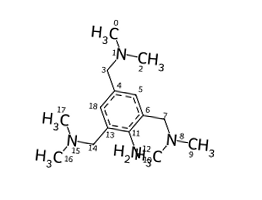 CN(C)Cc1cc(CN(C)C)c(N)c(CN(C)C)c1